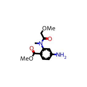 COCC(=O)N(C)c1cc(N)ccc1C(=O)OC